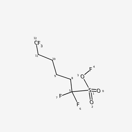 O=S(=O)(OF)C(F)(F)CCCCC(F)(F)F